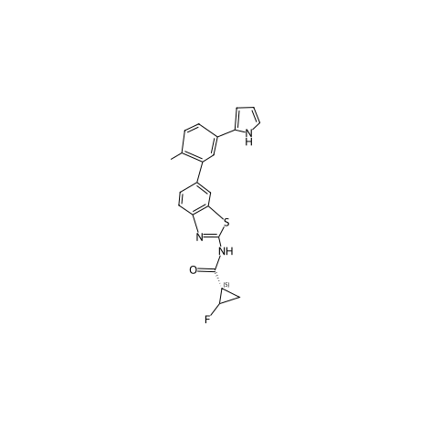 Cc1ccc(-c2ccc[nH]2)cc1-c1ccc2nc(NC(=O)[C@@H]3CC3F)sc2c1